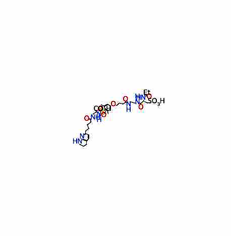 CCC(=O)N[C@@H](CS(=O)(=O)O)C(=O)NCCNC(=O)CCCOc1cc(C)c(S(=O)(=O)N[C@@H](CNC(=O)CCCCc2ccc3c(n2)NCCC3)C(=O)O)c(C)c1